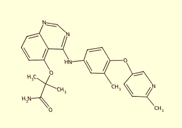 Cc1ccc(Oc2ccc(Nc3ncnc4cccc(OC(C)(C)C(N)=O)c34)cc2C)cn1